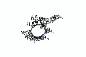 CO[C@H]1/C=C/O[C@@]2(C)Oc3c(C)c(O)c4c(=O)c(c5oc6cc(OCC7CC[N+](C)(C)CC7)ccc6nc-5c4c3C2=O)NC(=O)/C(C)=C\C=C\[C@H](C)[C@H](O)[C@@H](C)[C@@H](O)[C@@H](C)[C@H](OC(C)=O)[C@@H]1C